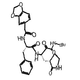 CC(C)(C)NC(=O)C(=O)[C@H](C[C@@H]1CCNC1=O)NC(=O)[C@H](Cc1ccccc1)NC(=O)c1ccc2c(c1)OCO2